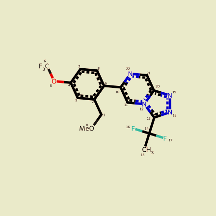 COCc1cc(OC(F)(F)F)ccc1-c1cn2c(C(C)(F)F)nnc2cn1